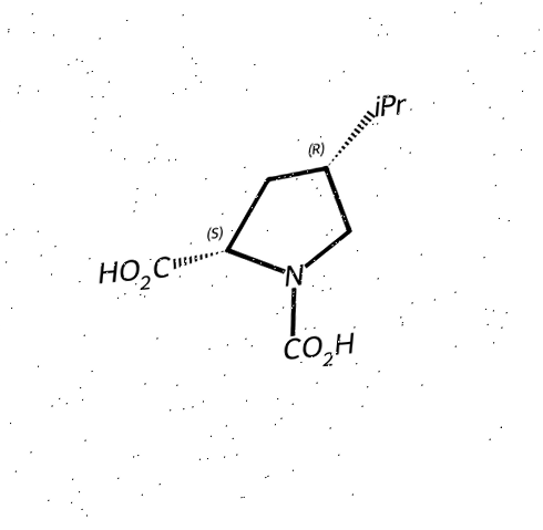 CC(C)[C@H]1C[C@@H](C(=O)O)N(C(=O)O)C1